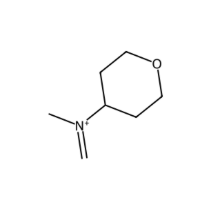 C=[N+](C)C1CCOCC1